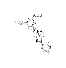 Cc1cc(C(=O)O)cc(C(=O)O)c1.Nc1cnn(-c2cccnc2)c1